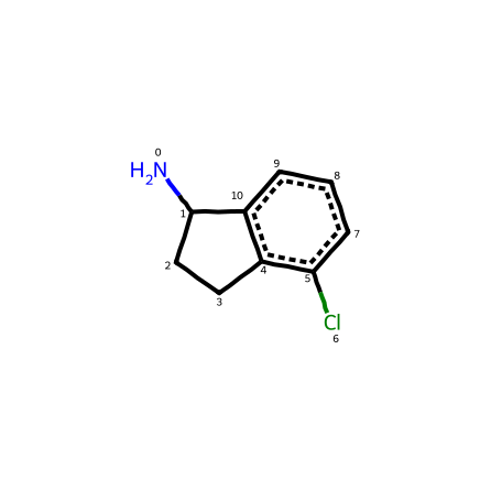 NC1CCc2c(Cl)cccc21